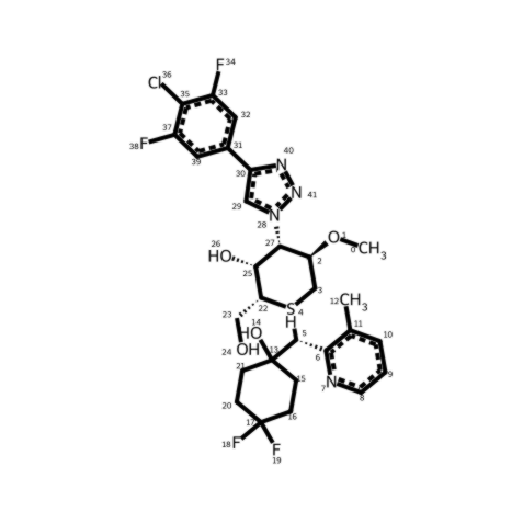 CO[C@H]1C[SH]([C@H](c2ncccc2C)C2(O)CCC(F)(F)CC2)[C@H](CO)[C@H](O)[C@@H]1n1cc(-c2cc(F)c(Cl)c(F)c2)nn1